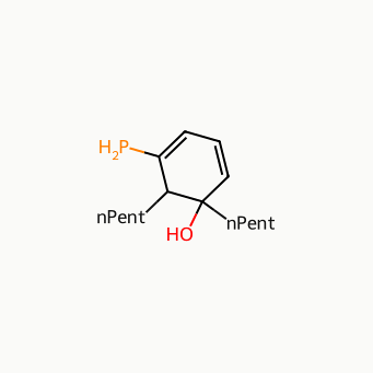 CCCCCC1C(P)=CC=CC1(O)CCCCC